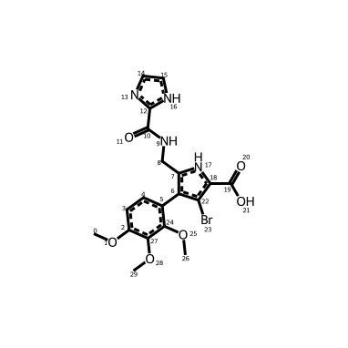 COc1ccc(-c2c(CNC(=O)c3ncc[nH]3)[nH]c(C(=O)O)c2Br)c(OC)c1OC